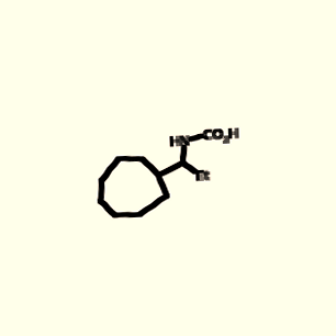 [CH2]CC(NC(=O)O)C1CCCCCCC1